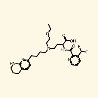 CCOCCN(CCCCc1ccc2c(n1)NCCC2)CCC(NC(=O)c1ncccc1C(F)F)C(=O)O